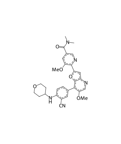 COc1cc(C(=O)N(C)C)cnc1-c1cc2ncc(OC)c(-c3ccc(NC4CCOCC4)c(C#N)c3)c2o1